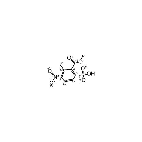 COC(=O)c1c(S(=O)(=O)O)ccc([N+](=O)[O-])c1C